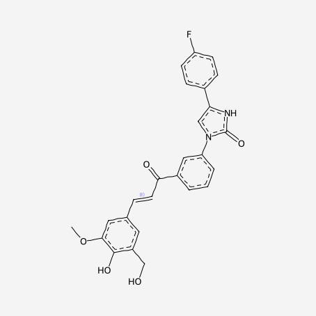 COc1cc(/C=C/C(=O)c2cccc(-n3cc(-c4ccc(F)cc4)[nH]c3=O)c2)cc(CO)c1O